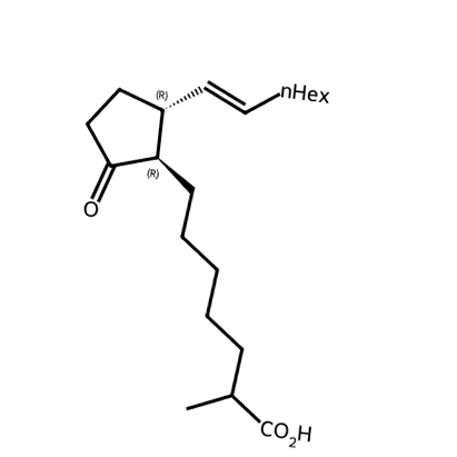 CCCCCCC=C[C@H]1CCC(=O)[C@@H]1CCCCCC(C)C(=O)O